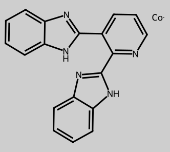 [Co].c1cnc(-c2nc3ccccc3[nH]2)c(-c2nc3ccccc3[nH]2)c1